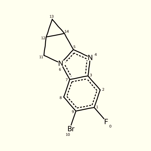 Fc1cc2nc3n(c2cc1Br)CC1CC31